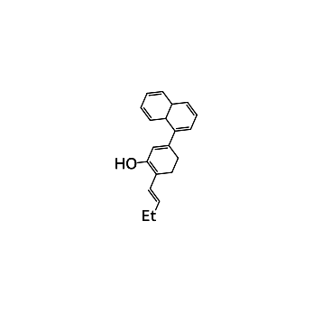 CC/C=C/C1=C(O)C=C(C2=CC=CC3C=CC=CC23)CC1